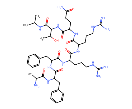 CC(NC(=O)C(NC(=O)C(CCC(N)=O)NC(=O)C(CCCNC(=N)N)NC(=O)C(CCCNC(=N)N)NC(=O)C(Cc1ccccc1)NC(=O)C(Cc1ccccc1)NC(=O)C(N)C(C)C)C(C)O)C(=O)O